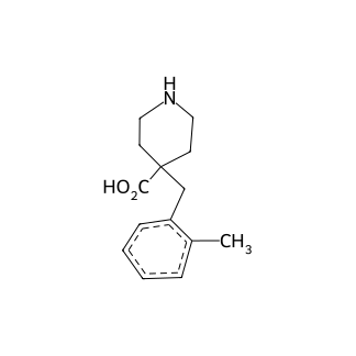 Cc1ccccc1CC1(C(=O)O)CCNCC1